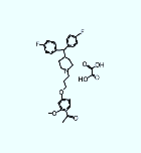 COc1cc(OCCCN2CCC(C(c3ccc(F)cc3)c3ccc(F)cc3)CC2)ccc1C(C)=O.O=C(O)C(=O)O